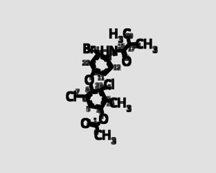 CC(=O)Oc1cc(Cl)c(Oc2ccc(NC(=O)C(C)C)c(Br)c2)c(Cl)c1C